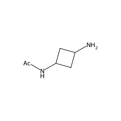 CC(=O)NC1CC(N)C1